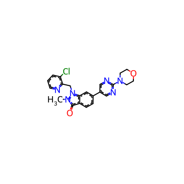 Cn1c(=O)c2ccc(-c3cnc(N4CCOCC4)nc3)cc2n1Cc1ncccc1Cl